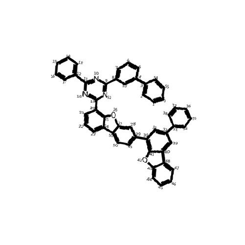 c1ccc(-c2cccc(-c3nc(-c4ccccc4)nc(-c4cccc5c4oc4cc(-c6cc(-c7ccccc7)cc7c6oc6ccccc67)ccc45)n3)c2)cc1